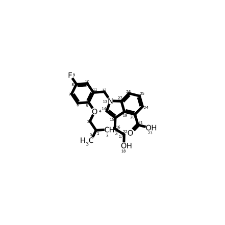 CC(C)COc1ccc(F)cc1Cn1cc(CCO)c2c(C(=O)O)cccc21